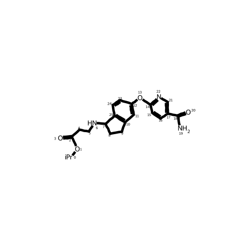 CC(C)OC(=O)CCNC1CCc2cc(Oc3ccc(C(N)=O)cn3)ccc21